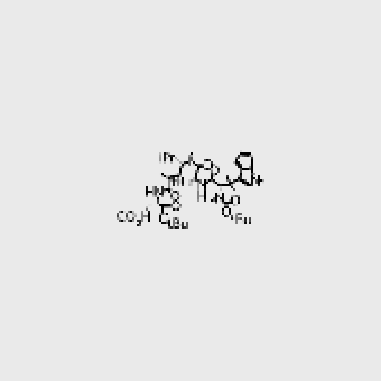 C/C(=C\[C@H](C(C)C)N(C)C(=O)[C@@H](NC(=O)[C@@H](N(C)C(=O)OC(C)(C)C)C(C)(C)c1cn(C)c2ccccc12)C(C)(C)C)C(=O)N[C@@H](CC(=O)O)C(=O)OC(C)(C)C